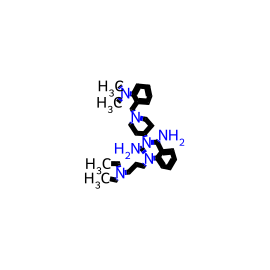 CCN(CC)CCCN1c2ccccc2C(N)N(C2CCN(Cc3ccccc3N(C)C)CC2)C1N